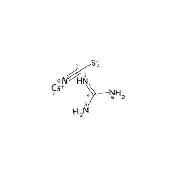 N#C[S-].N=C(N)N.[Cs+]